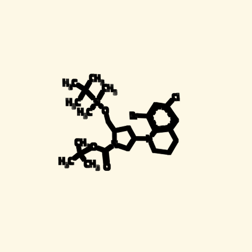 CC(C)(C)OC(=O)N1CC(N2CCCc3cc(Cl)cc(Br)c32)CC1CO[Si](C)(C)C(C)(C)C